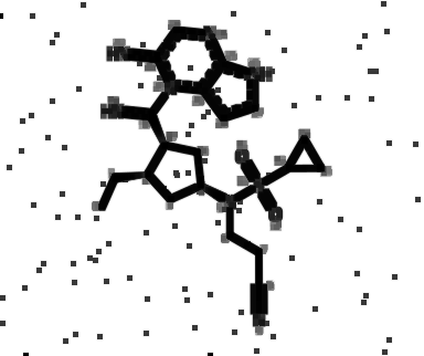 CC[C@@H]1C[C@H](N(CCC#N)S(=O)(=O)C2CC2)C[C@@H]1C(=N)n1c(=N)cnc2[nH]ccc21